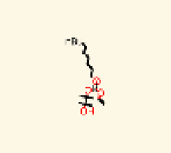 C=COB(OCCCCC=CCCCC)OC(C)(C)C(C)(C)O